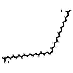 CC(O)CCCCCCCCCCCCCC/C=C\CCCCCCCCCCCCCCCC(C)O